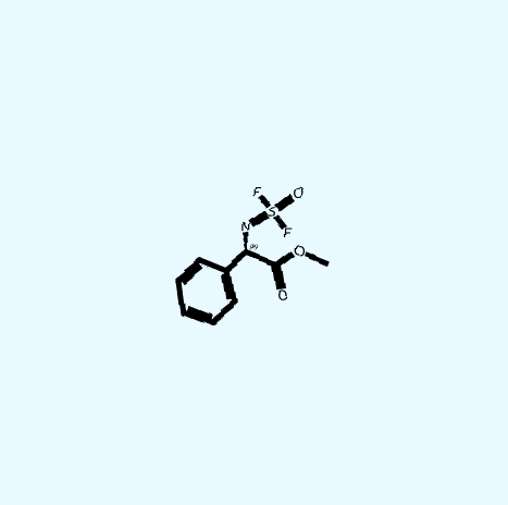 COC(=O)[C@H](N=S(=O)(F)F)c1ccccc1